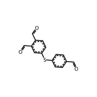 O=Cc1ccc(Sc2ccc(C=O)c(C=O)c2)cc1